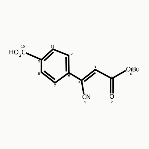 CC(C)COC(=O)C=C(C#N)c1ccc(C(=O)O)cc1